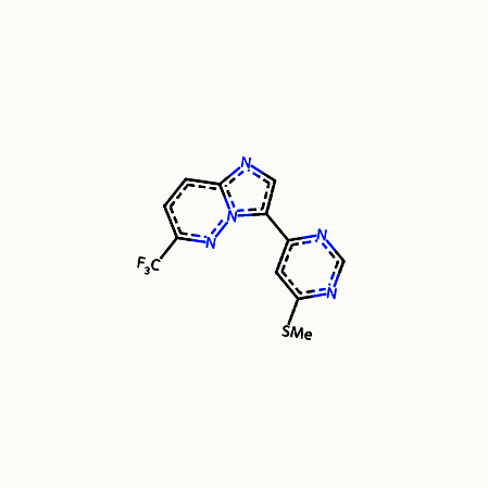 CSc1cc(-c2cnc3ccc(C(F)(F)F)nn23)ncn1